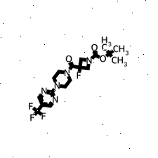 CC(C)(C)OC(=O)N1CC(F)(C(=O)N2CCN(c3ncc(C(F)(F)F)cn3)CC2)C1